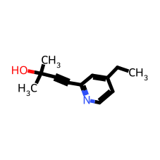 CCc1ccnc(C#CC(C)(C)O)c1